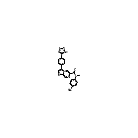 CN(C(=O)c1cn2c(-c3ccc(-c4nnn[nH]4)cc3)cnc2cn1)c1ccc(C#N)cc1